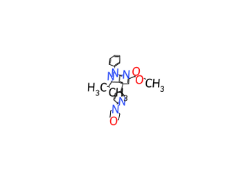 CCOC(=O)c1cc(-c2ccc(N3CCOCC3)nc2)c2c(C(C)C)nn(-c3ccccc3)c2n1